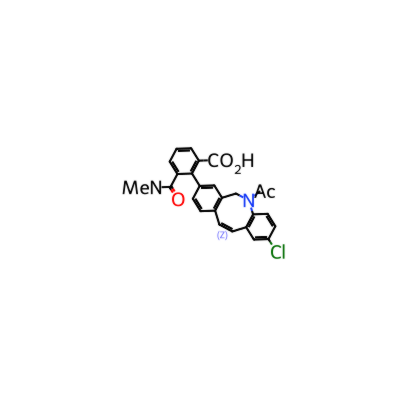 CNC(=O)c1cccc(C(=O)O)c1-c1ccc2c(c1)CN(C(C)=O)c1ccc(Cl)cc1/C=C\2